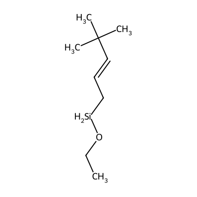 CCO[SiH2]CC=CC(C)(C)C